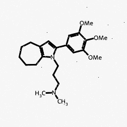 COc1cc(-c2cc3c(n2CCCN(C)C)CCCCC3)cc(OC)c1OC